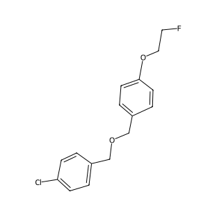 FCCOc1ccc(COCc2ccc(Cl)cc2)cc1